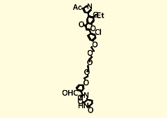 CCOc1cc2oc(-c3ccc(OCCOCCOCCOCCOc4ccc(C=O)c(C(=O)N(C)C5CCC(=O)NC5=O)c4)cc3Cl)cc(=O)c2cc1-c1cncc(C(C)=O)c1